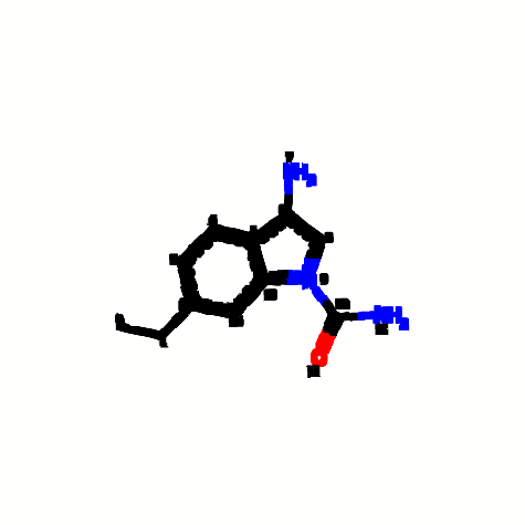 CCc1ccc2c(N)cn(C(N)=O)c2c1